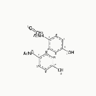 C=O.CC(=O)Nc1ccc(O)cc1.CC(=O)Nc1ccc(O)cc1